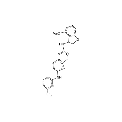 COc1cccc2c1C(NC1=Nc3ccc(Nc4cccc(C(F)(F)F)n4)cc3CO1)CO2